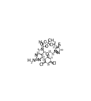 CC(C)(C)OC(=O)N1Cc2nc(N)nc(-c3c(Cl)cc(Cl)cc3OCCn3cc(F)cn3)c2C1